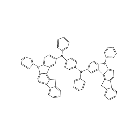 c1ccc(N(c2ccc(N(c3ccccc3)c3ccc4c(c3)c3c5c(ccc3n4-c3ccccc3)-c3ccccc3C5)cc2)c2ccc3c(c2)c2c4c(ccc2n3-c2ccccc2)-c2ccccc2C4)cc1